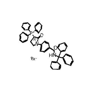 O=C(NC(c1ccccc1)(c1ccccc1)c1ccccc1)c1ccc(N2CC[C@@H]([P+](c3ccccc3)(c3ccccc3)c3ccccc3)C2=O)cc1.[Br-]